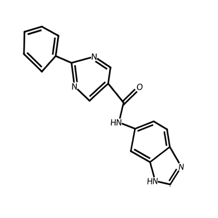 O=C(Nc1ccc2n[c][nH]c2c1)c1cnc(-c2ccccc2)nc1